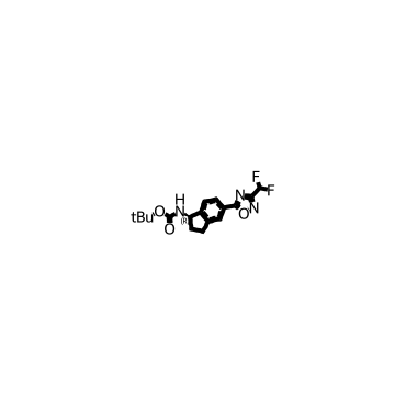 CC(C)(C)OC(=O)N[C@@H]1CCc2cc(-c3nc(C(F)F)no3)ccc21